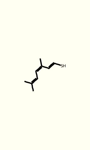 CC(C)=C/C=C(C)\C=C\S